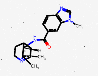 Cn1cnc2ccc(C(=O)N[C@H]3C4CCN(CC4)C3(C)C)cc21